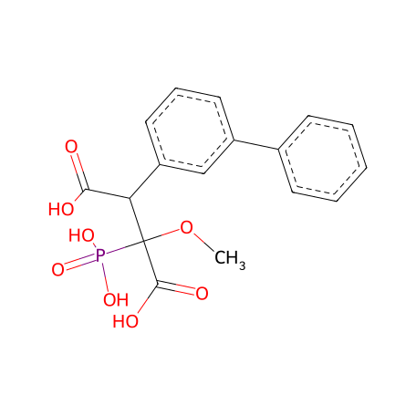 COC(C(=O)O)(C(C(=O)O)c1cccc(-c2ccccc2)c1)P(=O)(O)O